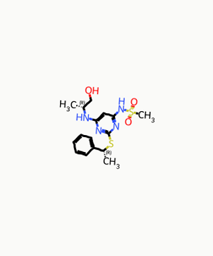 C[C@H](CO)Nc1cc(NS(C)(=O)=O)nc(S[C@H](C)c2ccccc2)n1